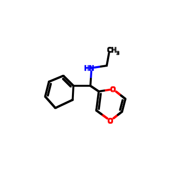 CCNC(C1=CC=CCC1)C1=COC=CO1